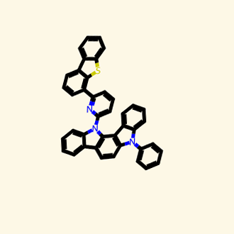 c1ccc(-n2c3ccccc3c3c2ccc2c4ccccc4n(-c4cccc(-c5cccc6c5sc5ccccc56)n4)c23)cc1